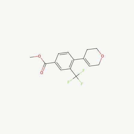 COC(=O)c1ccc(C2=CCOCC2)c(C(F)(F)F)c1